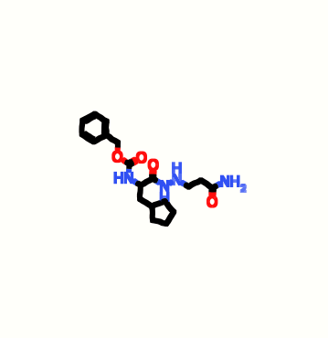 NC(=O)CCNNC(=O)C(CC1CCCC1)NC(=O)OCc1ccccc1